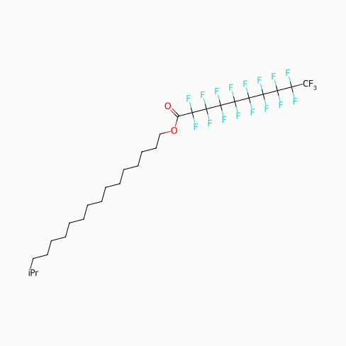 CC(C)CCCCCCCCCCCCCCCOC(=O)C(F)(F)C(F)(F)C(F)(F)C(F)(F)C(F)(F)C(F)(F)C(F)(F)C(F)(F)C(F)(F)F